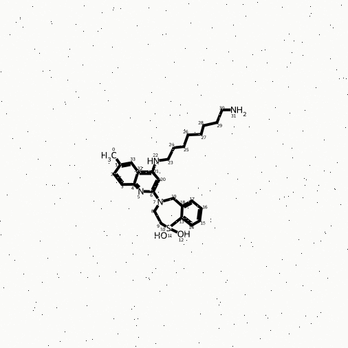 Cc1ccc2nc(N3CCS(O)(O)c4ccccc4C3)cc(NCCCCCCCCN)c2c1